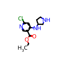 CCOC(=O)c1cnc(Cl)cc1NC1CCNC1